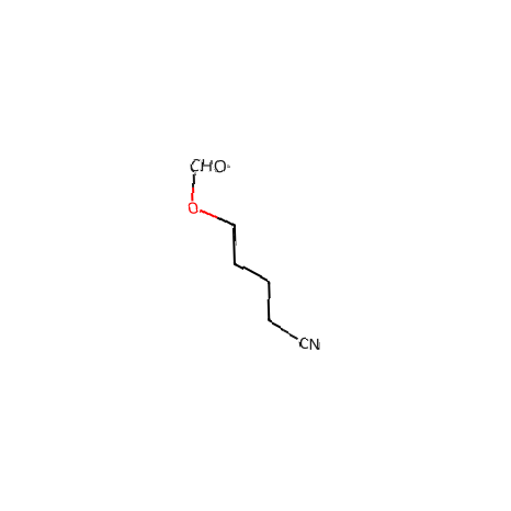 N#CCCCCO[C]=O